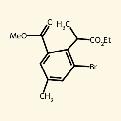 CCOC(=O)C(C)c1c(Br)cc(C)cc1C(=O)OC